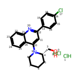 Cl.Cl.OC[C@@H]1CCCCN1c1cc(-c2ccc(Cl)cc2)nc2ccccc12